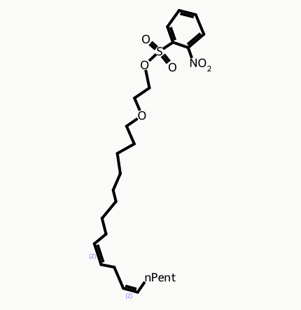 CCCCC/C=C\C/C=C\CCCCCCCCOCCOS(=O)(=O)c1ccccc1[N+](=O)[O-]